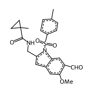 COc1cc2cc(CNC(=O)C3(C)CC3)n(S(=O)(=O)c3ccc(C)cc3)c2cc1C=O